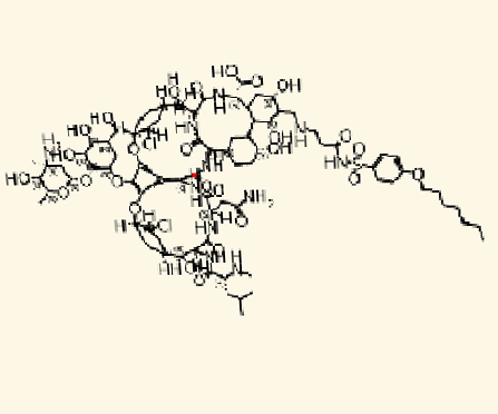 CCCCCCCOc1ccc(S(=O)(=O)NC(=O)CCNCC2[C@H](O)C3C4C[C@H](CC[C@H]4O)[C@H]4NC(=O)[C@@H]5NC(=O)[C@H](CC(N)=O)NC(=O)[C@H](NC(=O)[C@@H](CC(C)C)NC)[C@H](O)[C@H]6CC[C@@H](Oc7cc5cc(c7O[C@@H]5C[C@H](CO)[C@@H](O)[C@H](O)[C@H]5O[C@H]5C[C@](C)(N)[C@H](O)[C@H](C)O5)O[C@@H]5CC[C@@H](C[C@@H]5Cl)[C@@H](O)[C@H](NC4=O)C(=O)N[C@H](C(=O)O)C3C[C@@H]2O)[C@H](Cl)C6)cc1